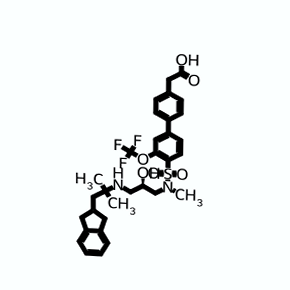 CN(C[C@H](O)CNC(C)(C)CC1Cc2ccccc2C1)S(=O)(=O)c1ccc(-c2ccc(CC(=O)O)cc2)cc1OC(F)(F)F